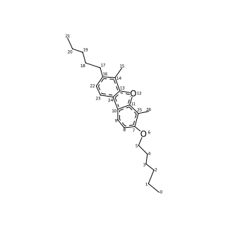 CCCCCCOc1ccc2c(oc3c(C)c(CCCCC)ccc32)c1C